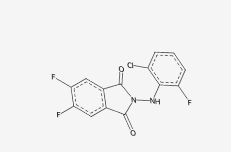 O=C1c2cc(F)c(F)cc2C(=O)N1Nc1c(F)cccc1Cl